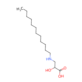 CCCCCCCCCCCCNCC(O)C(=O)O